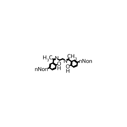 CCCCCCCCCc1ccc(O)c(C(C)=NCCN=C(C)c2cc(CCCCCCCCC)ccc2O)c1